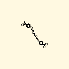 O=C(Cl)c1ccc(OCCOCCOCCOc2ccc(C(=O)Cl)cc2)cc1